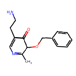 CC1=NC=C(CCN)C(=O)C1OCc1ccccc1